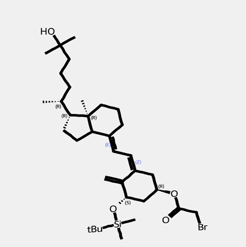 C=C1/C(=C\C=C2/CCC[C@@]3(C)C2CC[C@@H]3[C@H](C)CCCC(C)(C)O)C[C@@H](OC(=O)CBr)C[C@@H]1O[Si](C)(C)C(C)(C)C